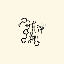 N#Cc1cccc(C[C@H](NCc2cccc([C@@H](c3ccccc3)n3c(=O)[nH]n(-c4ccccc4)c3=O)c2)C(N)=O)c1.O=C(O)C(F)(F)F